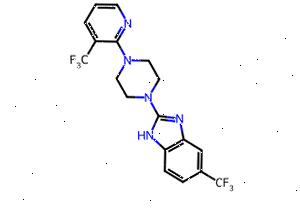 FC(F)(F)c1ccc2[nH]c(N3CCN(c4ncccc4C(F)(F)F)CC3)nc2c1